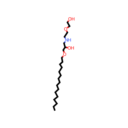 CCCCCCCCCCCCCCCCOCC(O)CNCCOCCO